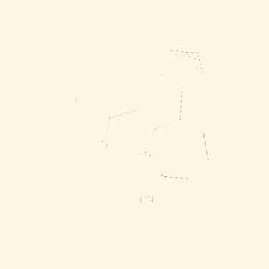 CC(N)CC1NC(=N)CCCC1c1ccco1